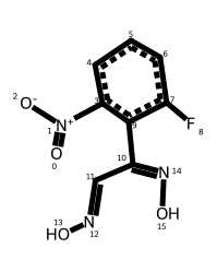 O=[N+]([O-])c1cccc(F)c1C(C=NO)=NO